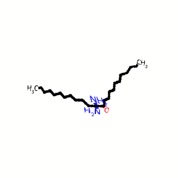 CCCCCCCCCCCC(=O)C(N)(N)CCCCCCCCCCC